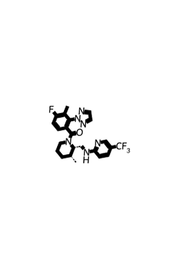 Cc1c(F)ccc(C(=O)N2CCC[C@@H](C)[C@H]2CNc2ccc(C(F)(F)F)cn2)c1-n1nccn1